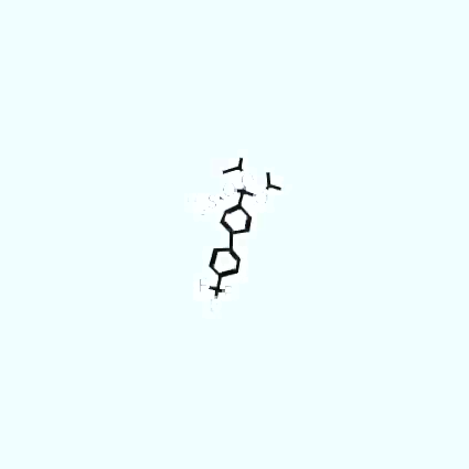 CC(C)OC(O[SiH3])(OC(C)C)c1ccc(-c2ccc(C(F)(F)F)cc2)cc1